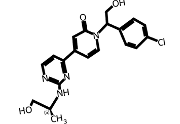 C[C@@H](CO)Nc1nccc(-c2ccn(C(CO)c3ccc(Cl)cc3)c(=O)c2)n1